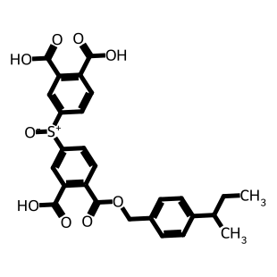 CCC(C)c1ccc(COC(=O)c2ccc([S+]([O-])c3ccc(C(=O)O)c(C(=O)O)c3)cc2C(=O)O)cc1